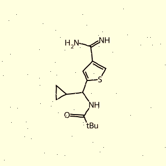 CC(C)(C)C(=O)NC(c1cc(C(=N)N)cs1)C1CC1